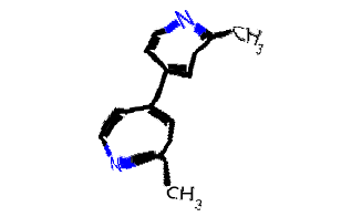 Cc1cc(-c2ccnc(C)c2)ccn1